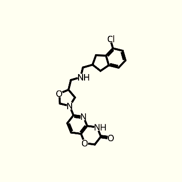 O=C1COc2ccc(N3COC(CNCC4Cc5cccc(Cl)c5C4)C3)nc2N1